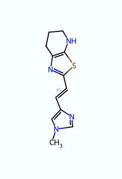 Cn1cnc(/C=C/c2nc3c(s2)NCCC3)c1